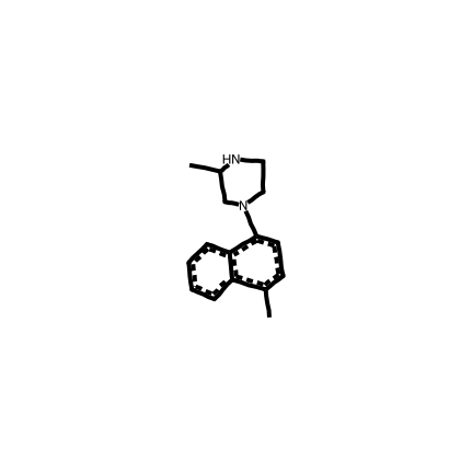 Cc1ccc(N2CCNC(C)C2)c2ccccc12